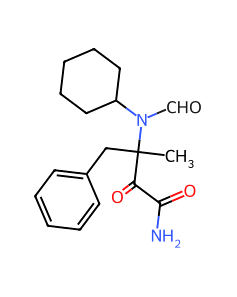 CC(Cc1ccccc1)(C(=O)C(N)=O)N(C=O)C1CCCCC1